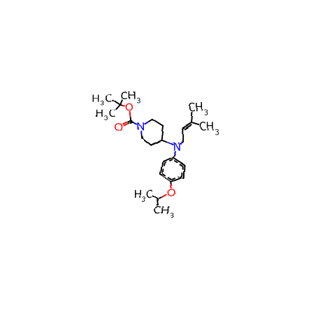 CC(C)=CCN(c1ccc(OC(C)C)cc1)C1CCN(C(=O)OC(C)(C)C)CC1